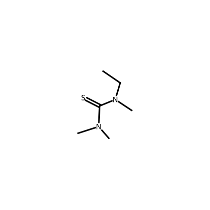 CCN(C)C(=S)N(C)C